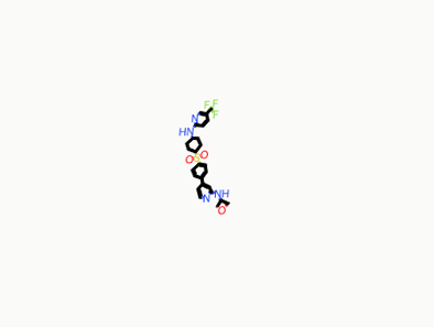 O=S(=O)(c1ccc(-c2ccnc(NC3COC3)c2)cc1)[C@H]1CC[C@H](Nc2ccc(C(F)(F)F)cn2)CC1